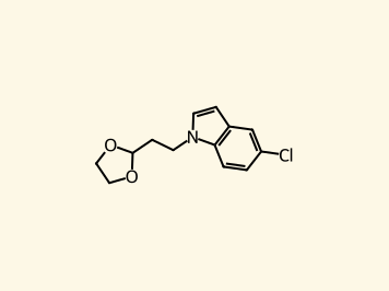 Clc1ccc2c(ccn2CCC2OCCO2)c1